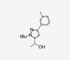 Cc1cccc(-c2cc(C(C)O)n(C(C)(C)C)n2)c1